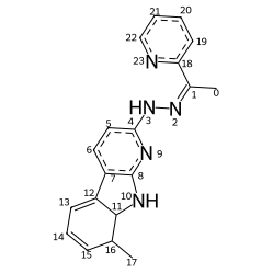 C/C(=N/Nc1ccc2c(n1)NC1C2=CC=CC1C)c1ccccn1